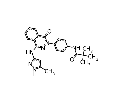 Cc1cc(Nc2nn(-c3ccc(NC(=O)C(C)(C)C)cc3)c(=O)c3ccccc23)n[nH]1